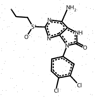 CCC[S+]([O-])c1nc(N)c2[nH]c(=O)n(-c3ccc(Cl)c(Cl)c3)c2n1